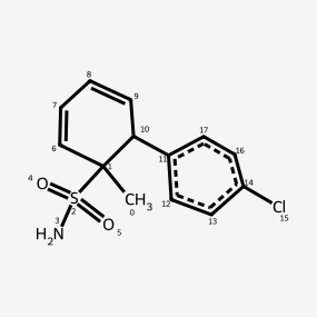 CC1(S(N)(=O)=O)C=CC=CC1c1ccc(Cl)cc1